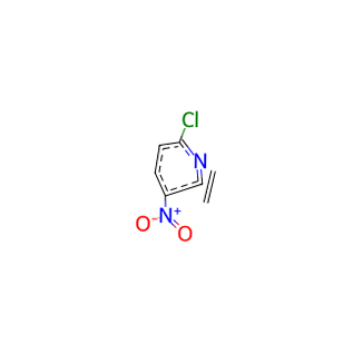 C=C.O=[N+]([O-])c1ccc(Cl)nc1